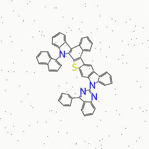 c1ccc(-c2nc(-n3c4ccccc4c4cc5c(cc43)sc3c5c4ccccc4c4c5ccccc5n(-c5cccc6ccccc56)c34)nc3ccccc23)cc1